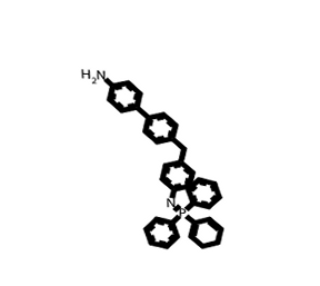 Nc1ccc(-c2ccc(Cc3ccc(N=P(C4=CCCC=C4)(c4ccccc4)c4ccccc4)cc3)cc2)cc1